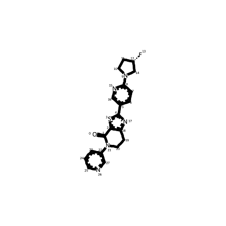 O=C1c2sc(-c3ccc(N4CC[C@H](F)C4)nc3)nc2CCN1c1cccnc1